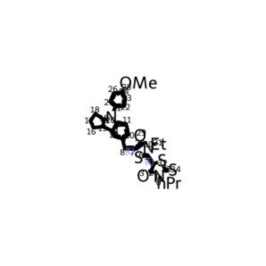 CCCN1C(=O)/C(=c2\s/c(=C/c3ccc4c(c3)C3CCCC3N4c3ccc(OC)cc3)c(=O)n2CC)SC1=S